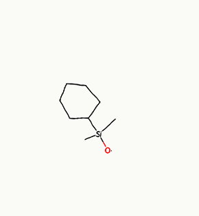 C[Si](C)([O])C1CCCCC1